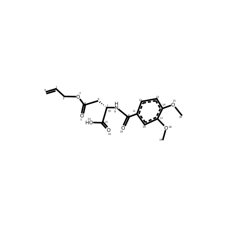 C=CCOC(=O)C[C@H](NC(=O)c1ccc(OC)c(OC)c1)C(=O)O